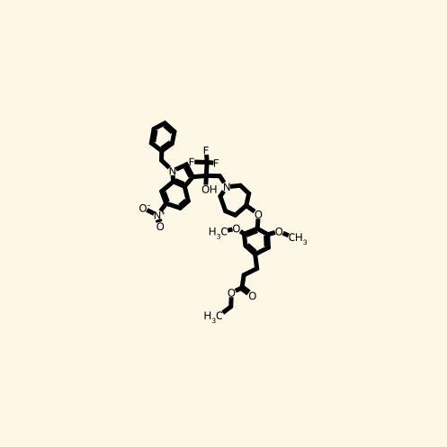 CCOC(=O)CCc1cc(OC)c(OC2CCCN(CC(O)(c3cn(Cc4ccccc4)c4cc([N+](=O)[O-])ccc34)C(F)(F)F)CC2)c(OC)c1